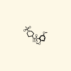 COc1ccc(OC)c(S(=O)(=O)NC2CCN(S(C)(=O)=O)CC2)c1